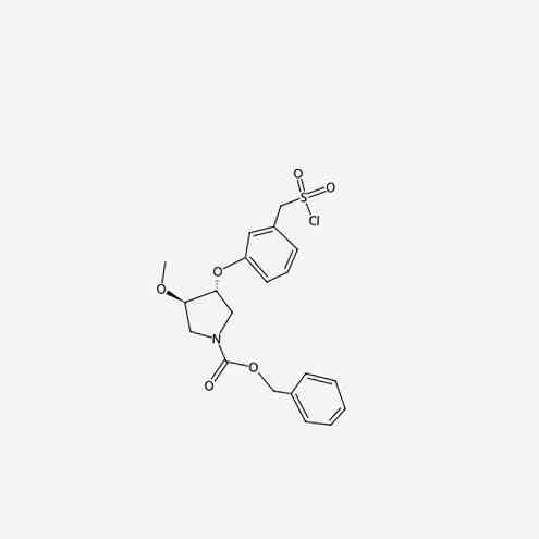 CO[C@@H]1CN(C(=O)OCc2ccccc2)C[C@H]1Oc1cccc(CS(=O)(=O)Cl)c1